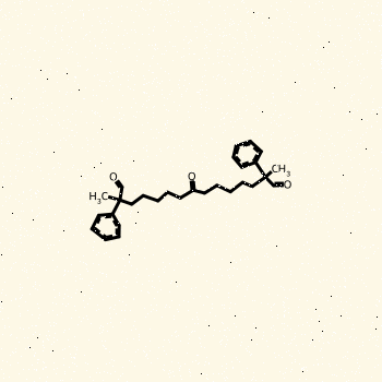 CC(C=O)(CCCCCC(=O)CCCCCC(C)(C=O)c1ccccc1)c1ccccc1